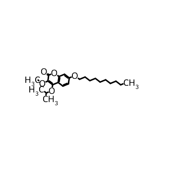 CCCCCCCCCCOc1ccc2c(OC(C)C)c(OC)c(=O)oc2c1